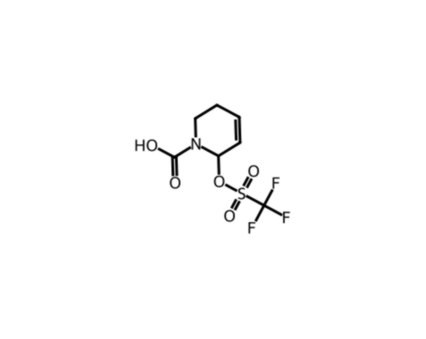 O=C(O)N1CCC=CC1OS(=O)(=O)C(F)(F)F